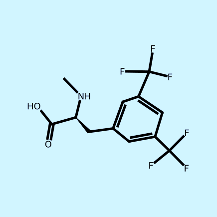 CN[C@@H](Cc1cc(C(F)(F)F)cc(C(F)(F)F)c1)C(=O)O